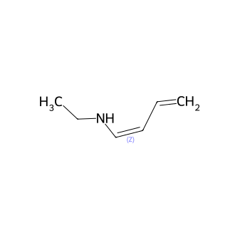 C=C/C=C\NCC